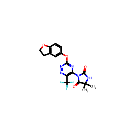 CC1(C)NC(=O)N(c2nc(Oc3ccc4c(c3)CCO4)nnc2C(F)(F)F)C1=O